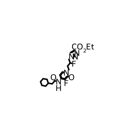 CCOC(=O)c1cn(CC(F)CCn2ccc(NC(=O)CC3CCCCC3)c(F)c2=O)nn1